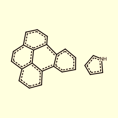 c1cc[nH]c1.c1ccc2c(c1)c1cccc3ccc4cccc2c4c31